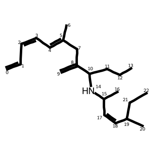 C=C/C=C\C=C(/C)CC(=C)C(CCC)NC(C)/C=C\C(C)CC